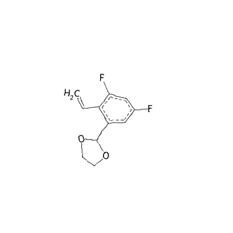 C=Cc1c(F)cc(F)cc1C1OCCO1